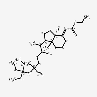 CCOC(=O)/C=C1\CCC[C@]2(C)[C@@H](C(C)C(F)CCC(C)(C)O[Si](CC)(CC)CC)CC[C@@H]12